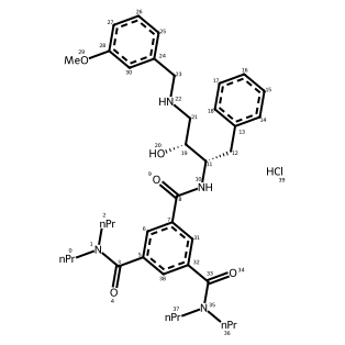 CCCN(CCC)C(=O)c1cc(C(=O)N[C@@H](Cc2ccccc2)[C@H](O)CNCc2cccc(OC)c2)cc(C(=O)N(CCC)CCC)c1.Cl